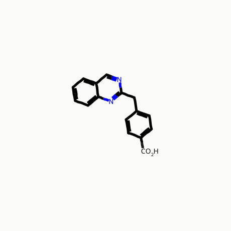 O=C(O)c1ccc(Cc2ncc3ccccc3n2)cc1